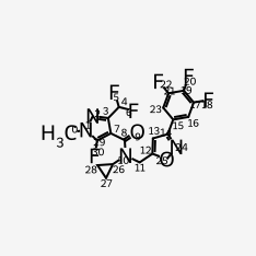 Cn1nc(C(F)F)c(C(=O)N(Cc2cc(-c3cc(F)c(F)c(F)c3)no2)C2CC2)c1F